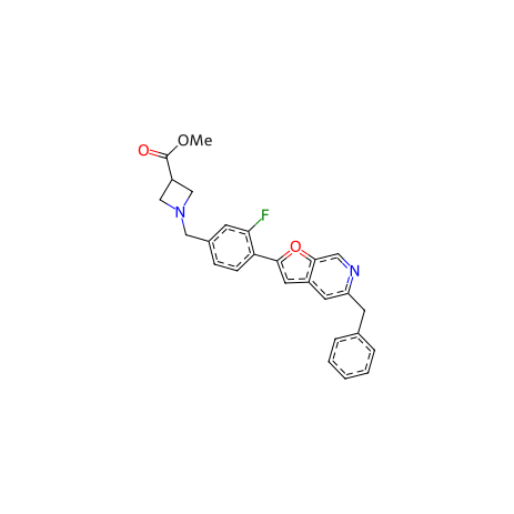 COC(=O)C1CN(Cc2ccc(-c3cc4cc(Cc5ccccc5)ncc4o3)c(F)c2)C1